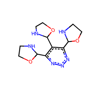 C1COC(c2nnnc(C3NCCO3)c2C2NCCO2)N1